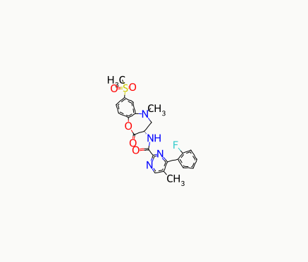 Cc1cnc(C(=O)N[C@H]2CN(C)c3cc(S(C)(=O)=O)ccc3OC2=O)nc1-c1ccccc1F